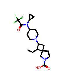 CCC1C(N2CCC(N(C(=O)C(F)(F)F)C3CC3)CC2)CC12CCN(C(=O)O)C2